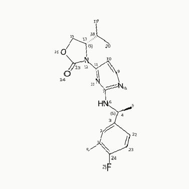 Cc1cc([C@H](C)Nc2nccc(N3C(=O)OC[C@@H]3C(C)C)n2)ccc1F